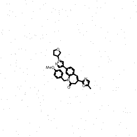 COc1ccc(CN2C(=O)CC(c3ncc(C)o3)=Cc3ccc(-c4cnn(C5CCOC5)c4)cc32)cc1